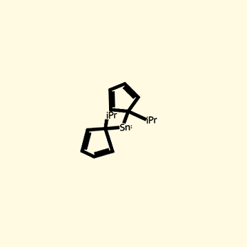 CC(C)[C]1([Sn][C]2(C(C)C)C=CC=C2)C=CC=C1